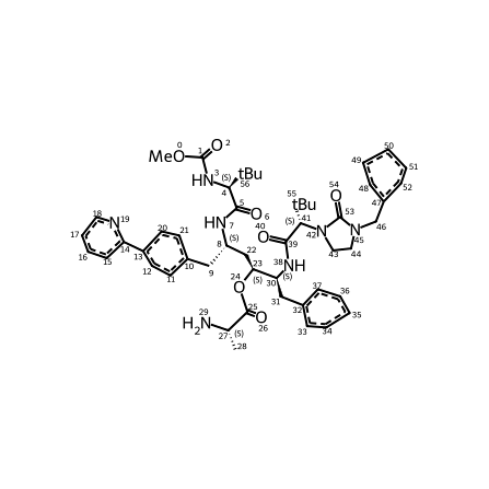 COC(=O)N[C@H](C(=O)N[C@@H](Cc1ccc(-c2ccccn2)cc1)C[C@H](OC(=O)[C@H](C)N)[C@H](Cc1ccccc1)NC(=O)[C@@H](N1CCN(Cc2ccccc2)C1=O)C(C)(C)C)C(C)(C)C